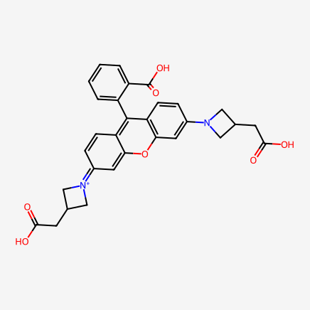 O=C(O)CC1CN(c2ccc3c(-c4ccccc4C(=O)O)c4ccc(=[N+]5CC(CC(=O)O)C5)cc-4oc3c2)C1